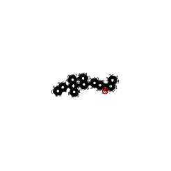 c1ccc2cc(-c3c4ccccc4c(-c4ccc(-c5ccc6cc7c(cc6c5)oc5ccc6ccccc6c57)c5ccccc45)c4ccccc34)ccc2c1